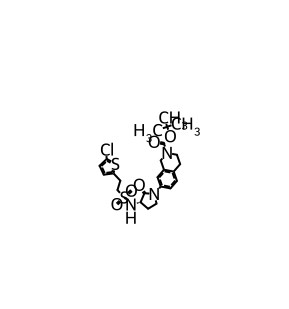 CC(C)(C)OC(=O)N1CCc2ccc(N3CC[C@H](NS(=O)(=O)CCc4ccc(Cl)s4)C3=O)cc2C1